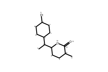 CCC1CCC(C(C)C2CCC(C)C(=O)O2)CC1